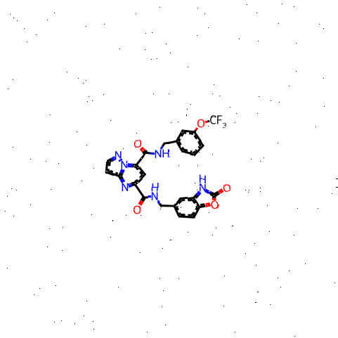 O=C(NCc1ccc2oc(=O)[nH]c2c1)c1cc(C(=O)NCc2cccc(OC(F)(F)F)c2)n2nccc2n1